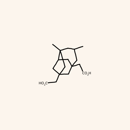 CC1CC2(CC(=O)O)CC3CC(CC(=O)O)(C2)CC3(C)C1